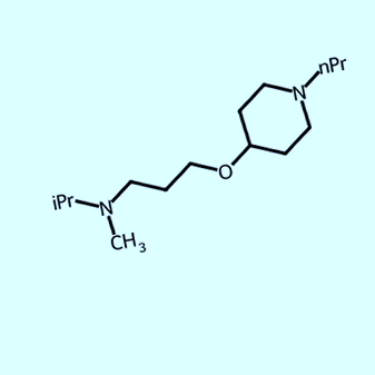 CCCN1CCC(OCCCN(C)C(C)C)CC1